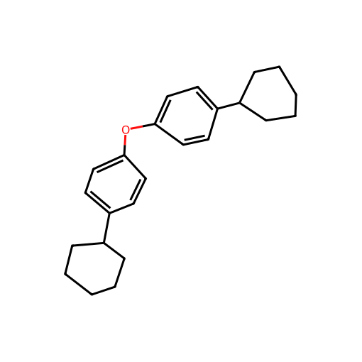 c1cc(C2CCCCC2)ccc1Oc1ccc(C2CCCCC2)cc1